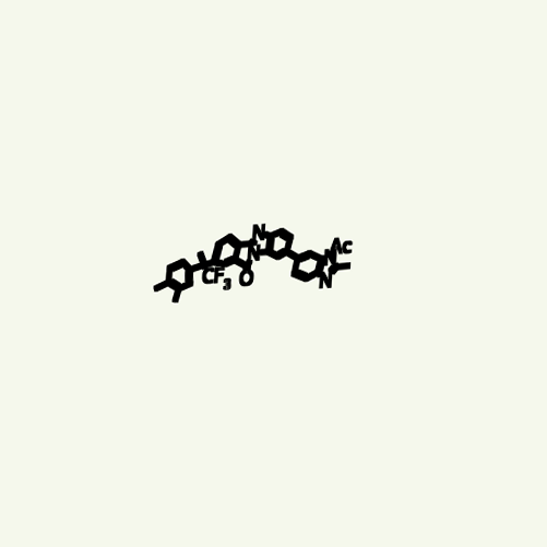 CC(=O)n1c(C)nc2ccc(-c3ccc4nc5n(c4c3)C(=O)c3cc(C(C)(c4ccc(C)c(C)c4)C(F)(F)F)ccc3-5)cc21